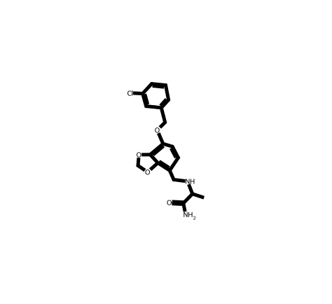 CC(NCc1ccc(OCc2cccc(Cl)c2)c2c1OCO2)C(N)=O